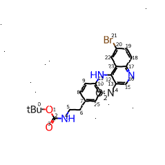 CC(C)(C)OC(=O)NCCc1ccc(Nc2c([N+](=O)[O-])cnc3ccc(Br)cc23)cc1